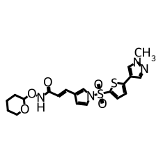 Cn1cc(-c2ccc(S(=O)(=O)n3ccc(C=CC(=O)NOC4CCCCO4)c3)s2)cn1